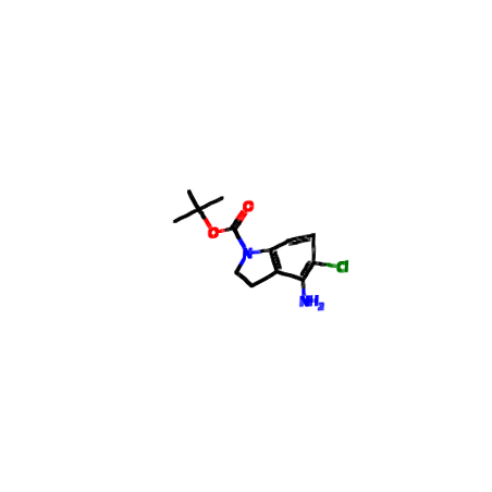 CC(C)(C)OC(=O)N1CCc2c1ccc(Cl)c2N